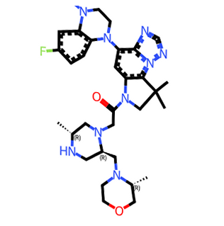 C[C@@H]1CN(CC(=O)N2CC(C)(C)c3c2cc(N2CCN(C)c4cc(F)ccc42)c2ncnn32)[C@@H](CN2CCOC[C@H]2C)CN1